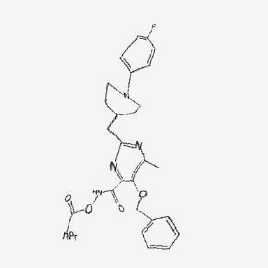 CCCC(=O)ONC(=O)c1nc(CC2CCN(c3ccc(F)cc3)CC2)nc(C)c1OCc1ccccc1